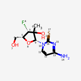 CC1(O)[C@@H](F)[C@@H](CO)O[C@H]1n1ccc(N)nc1=S